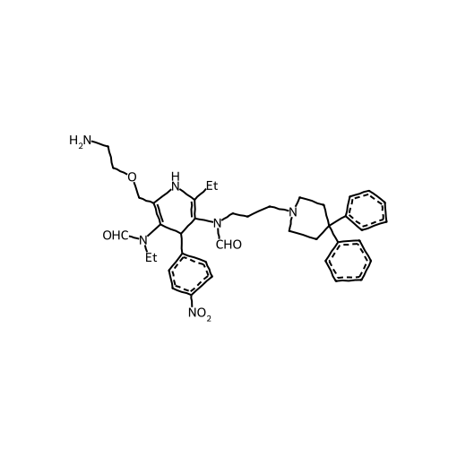 CCC1=C(N(C=O)CCCN2CCC(c3ccccc3)(c3ccccc3)CC2)C(c2ccc([N+](=O)[O-])cc2)C(N(C=O)CC)=C(COCCN)N1